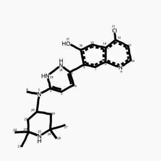 CN(C1=CC=C(c2cc3nccc(Cl)c3cc2O)NN1)C1CC(C)(C)NC(C)(C)C1